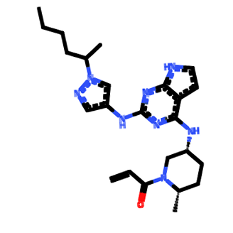 C=CC(=O)N1C[C@H](Nc2nc(Nc3cnn(C(C)CCCC)c3)nc3[nH]ccc23)CC[C@@H]1C